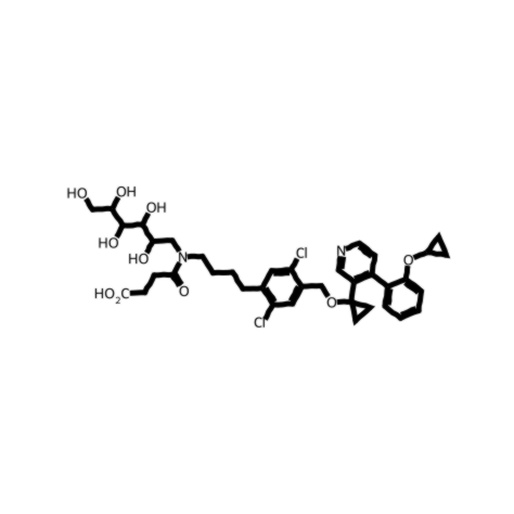 O=C(O)CCC(=O)N(CCCCc1cc(Cl)c(COC2(c3cnccc3-c3ccccc3OC3CC3)CC2)cc1Cl)CC(O)C(O)C(O)C(O)CO